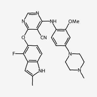 COc1cc(N2CCN(C)CC2)ccc1Nc1ncnc(Oc2ccc3[nH]c(C)cc3c2F)c1C#N